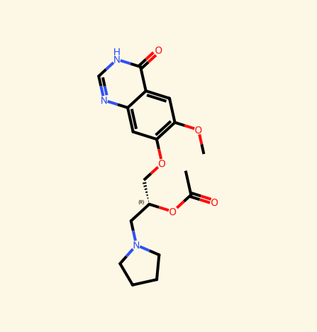 COc1cc2c(=O)[nH]cnc2cc1OC[C@@H](CN1CCCC1)OC(C)=O